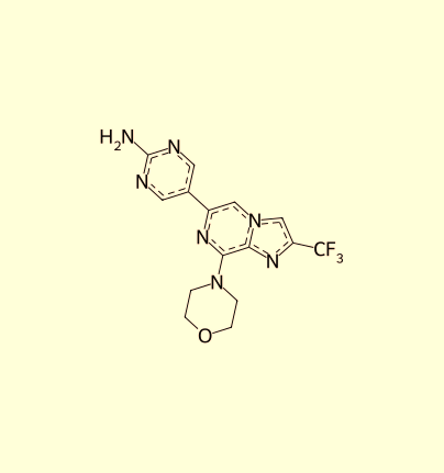 Nc1ncc(-c2cn3cc(C(F)(F)F)nc3c(N3CCOCC3)n2)cn1